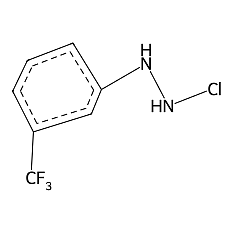 FC(F)(F)c1cccc(NNCl)c1